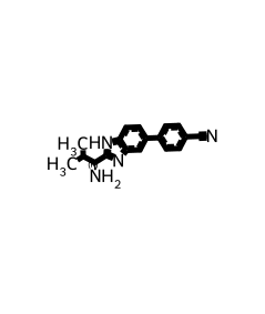 CC(C)[C@@H](N)c1nc2cc(-c3ccc(C#N)cc3)ccc2[nH]1